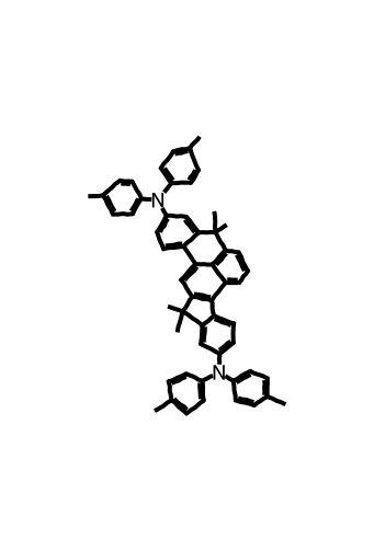 Cc1ccc(N(c2ccc(C)cc2)c2ccc3c(c2)C(C)(C)c2cc4c5c(cccc5c2-3)C(C)(C)c2cc(N(c3ccc(C)cc3)c3ccc(C)cc3)ccc2-4)cc1